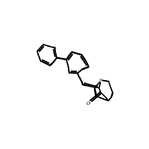 O=C1C(=Cc2cccc(-c3ccccc3)c2)N2CCC1CC2